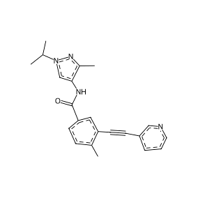 Cc1ccc(C(=O)Nc2cn(C(C)C)nc2C)cc1C#Cc1cccnc1